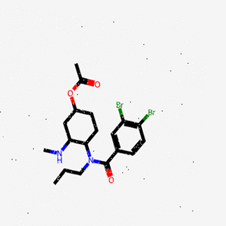 CCCN(C(=O)c1ccc(Br)c(Br)c1)C1CCC(OC(C)=O)CC1NC